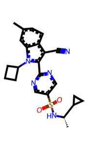 Cc1ccc2c(C#N)c(-c3ncc(S(=O)(=O)N[C@@H](C)C4CC4)cn3)n(C3CCC3)c2c1